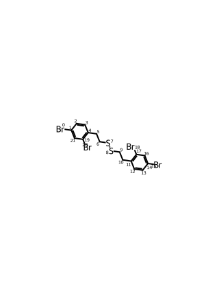 Brc1ccc(CCSSCCc2ccc(Br)cc2Br)c(Br)c1